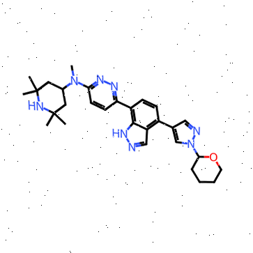 CN(c1ccc(-c2ccc(-c3cnn(C4CCCCO4)c3)c3cn[nH]c23)nn1)C1CC(C)(C)NC(C)(C)C1